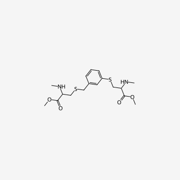 CNC(CSCc1cccc(SCC(NC)C(=O)OC)c1)C(=O)OC